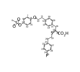 CS(=O)(=O)Oc1ccc(OCCc2ccc(C[C@H](SCCc3ccc(F)cc3)C(=O)O)cc2)cc1